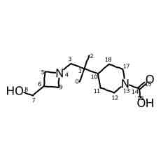 CC(C)(CN1CC(CO)C1)C1CCN(C(=O)O)CC1